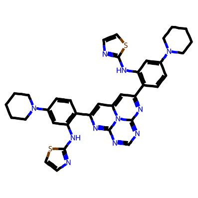 C1=NC2=NC(c3ccc(N4CCCCC4)cc3Nc3nccs3)=CC3=CC(c4ccc(N5CCCCC5)cc4Nc4nccs4)=NC(=N1)N32